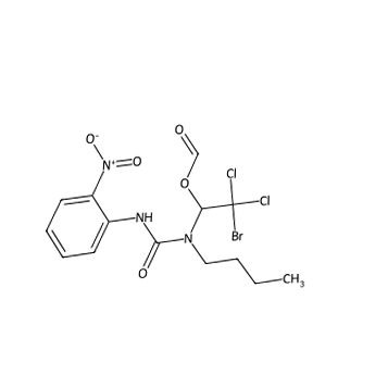 CCCCN(C(=O)Nc1ccccc1[N+](=O)[O-])C(OC=O)C(Cl)(Cl)Br